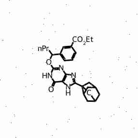 CCCC(Oc1nc2nc(C34CC5CC(CC3C5)C4)[nH]c2c(=O)[nH]1)c1cccc(C(=O)OCC)c1